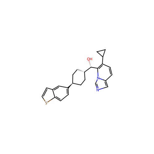 O[C@H](c1c(C2CC2)ccc2cncn12)[C@H]1CC[C@H](c2ccc3sccc3c2)CC1